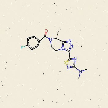 C[C@@H]1c2nnc(-c3nc(N(C)C)ns3)n2CCN1C(=O)c1ccc(F)cc1